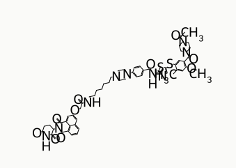 COc1cc(C)c(Sc2cnc(NC(=O)c3ccc(N4CCN(CCCCCCCNC(=O)COc5cc6c7c(cccc7c5)C(=O)N(C5CCC(=O)NC5=O)C6=O)CC4)cc3)s2)cc1C(=O)N1CCN(C(C)=O)CC1